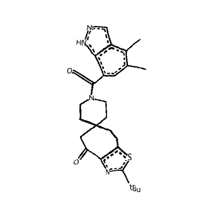 Cc1cc(C(=O)N2CCC3(CC2)CC(=O)c2nc(C(C)(C)C)sc2C3)c2[nH]ncc2c1C